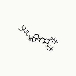 C=C1C(=CC=C2CCC[C@]3(C)C([C@H](C)OCC(=O)OC(CC)(CC)CC)=CC[C@@H]23)C[C@@H](O[Si](C)(C)C(C)(C)C)C[C@@H]1O[Si](C)(C)C(C)(C)C